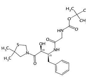 CC(C)(C)OC(=O)NCC(=O)N[C@@H](Cc1ccccc1)[C@H](O)C(=O)N1CSC(C)(C)C1